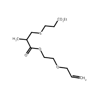 C=CCOCCOC(=O)C(C)CSCCC(=O)OCC